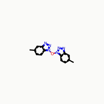 Cc1ccc2c(c1)nnn2On1nnc2cc(C)ccc21